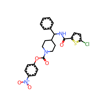 O=C(NC(c1ccccc1)C1CCN(C(=O)Oc2ccc([N+](=O)[O-])cc2)CC1)c1ccc(Cl)s1